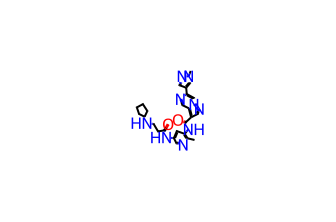 Cc1ncc(NC(=O)CCNC2CCCC2)cc1NC(=O)c1cnn2cc(-c3cnn(C)c3)ncc12